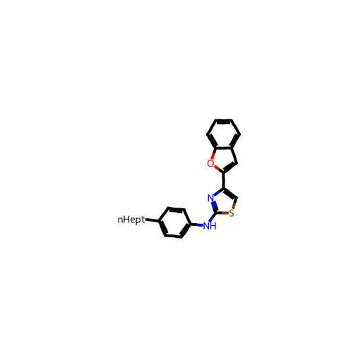 CCCCCCCc1ccc(Nc2nc(-c3cc4ccccc4o3)cs2)cc1